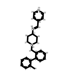 Cc1ccccc1-c1ccccc1CN1CCC(N=Cc2ccncc2)CC1